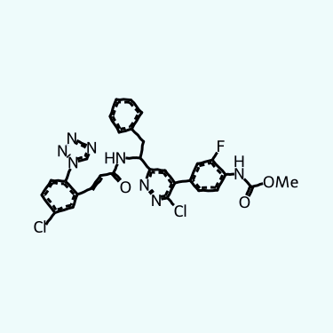 COC(=O)Nc1ccc(-c2cc(C(Cc3ccccc3)NC(=O)C=Cc3cc(Cl)ccc3-n3cnnn3)nnc2Cl)cc1F